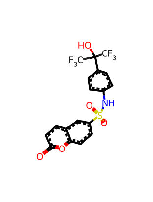 O=c1ccc2cc(S(=O)(=O)Nc3ccc(C(O)(C(F)(F)F)C(F)(F)F)cc3)ccc2o1